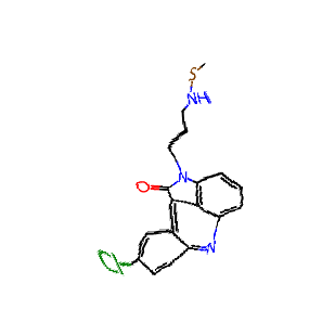 CSNCCCN1C(=O)c2c3cc(Cl)ccc3nc3cccc1c23